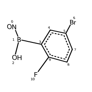 O=NB(O)c1cc(Br)ccc1F